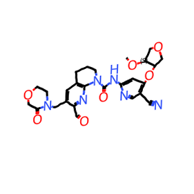 CO[C@H]1COCC1Oc1cc(NC(=O)N2CCCc3cc(CN4CCOCC4=O)c(C=O)nc32)ncc1C#N